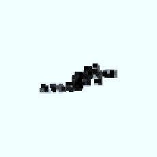 CC(=O)NCCc1ccc(S(=O)(=O)NC(=O)c2ccc(C(=O)NCCO)nc2)cc1